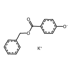 O=C(OCc1ccccc1)c1ccc([O-])cc1.[K+]